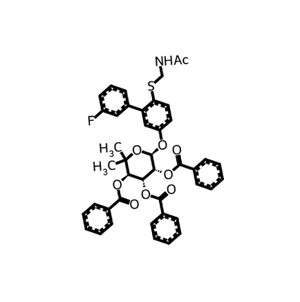 CC(=O)NCSc1ccc(O[C@@H]2OC(C)(C)[C@H](OC(=O)c3ccccc3)[C@@H](OC(=O)c3ccccc3)[C@H]2OC(=O)c2ccccc2)cc1-c1cccc(F)c1